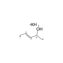 CC=CC(C)O.[KH]